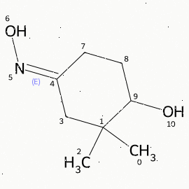 CC1(C)C/C(=N/O)CCC1O